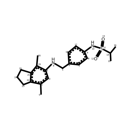 Cc1cc(NCc2ccc(NS(=O)(=O)C(C)C)cc2)c(C)c2c1CCC2